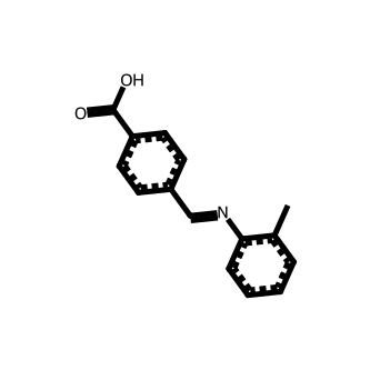 Cc1ccccc1N=Cc1ccc(C(=O)O)cc1